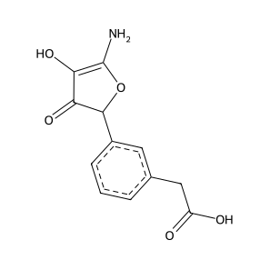 NC1=C(O)C(=O)C(c2cccc(CC(=O)O)c2)O1